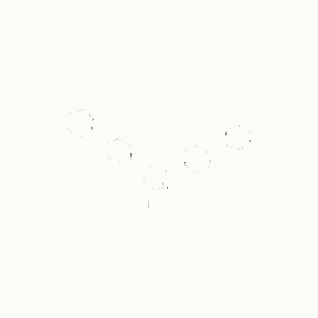 Brc1cc(-c2ccc(-c3ccccc3)cc2)cc(-c2ccc(-c3ccccc3)cc2)n1